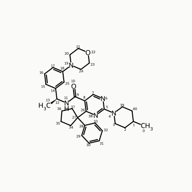 CC1CCN(c2ncc(C(=O)N[C@@H](C)c3cccc(N4CCOCC4)c3)c(C3(c4ccccc4)CCCC3)n2)CC1